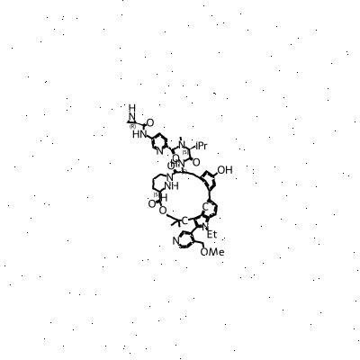 CCn1c(-c2cnccc2COC)c2c3cc(ccc31)-c1cc(O)cc(c1)C[C@H](NC(=O)[C@H](C(C)C)N(C)C(=O)c1ccc(NC(=O)[C@H]3CN3)cn1)C(=O)N1CCC[C@H](N1)C(=O)OCC(C)(C)C2